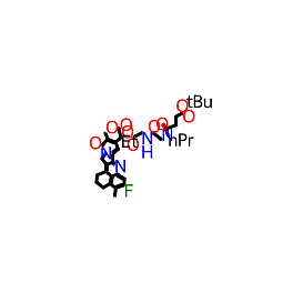 CCCN(CC(=O)NCC(=O)O[C@]1(CC)C(=O)OCc2c1cc1n(c2=O)Cc2c-1nc1cc(F)c(C)c3c1c2CCC3)C(=O)CCC(=O)OC(C)(C)C